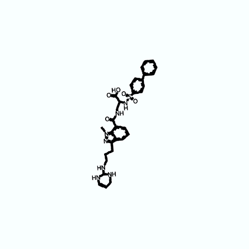 Cn1nc(CCCNC2NC=CCN2)c2cccc(C(=O)NCC(NS(=O)(=O)c3ccc(-c4ccccc4)cc3)C(=O)O)c21